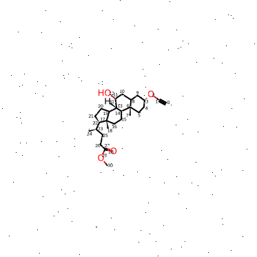 C#CO[C@@H]1CC[C@@]2(C)C(C1)C[C@H](O)[C@@H]1C2CC[C@@]2(C)C1CC[C@@H]2[C@H](C)CCC(=O)OC